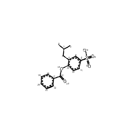 CC(C)Cc1cc(S(=O)(=O)Cl)ccc1OC(=O)c1ccccc1